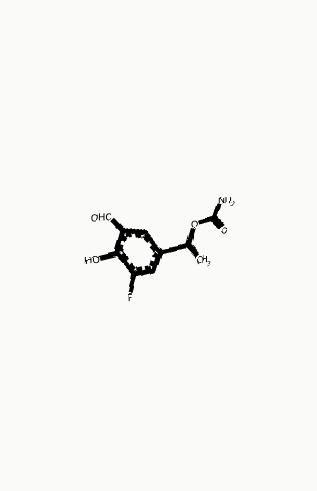 CC(OC(N)=O)c1cc(F)c(O)c(C=O)c1